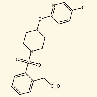 O=CCc1ccccc1S(=O)(=O)N1CCC(Oc2ccc(Cl)cn2)CC1